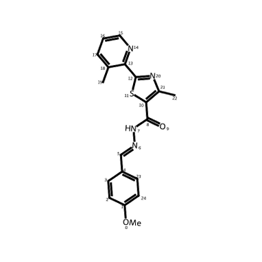 COc1ccc(/C=N/NC(=O)c2sc(-c3ncccc3C)nc2C)cc1